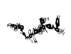 CN(CCCCSc1cccc2c1CN(C1CCC(=O)NC1=O)C2=O)CCN1CCC(CNc2ccc(S(=O)(=O)NC(=O)c3ccc(N4CCN(CC5=C(c6ccc(Cl)cc6)CC(C)(C)CC5)CC4)cc3Oc3cnc4[nH]ccc4c3)cc2[N+](=O)[O-])CC1